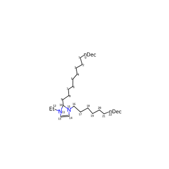 CCCCCCCCCCCCCCCCCCCC1N(CC)C=CN1CCCCCCCCCCCCCCCC